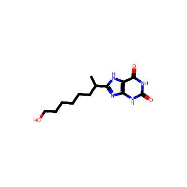 CC(CCCCCCO)c1nc2[nH]c(=O)[nH]c(=O)c2[nH]1